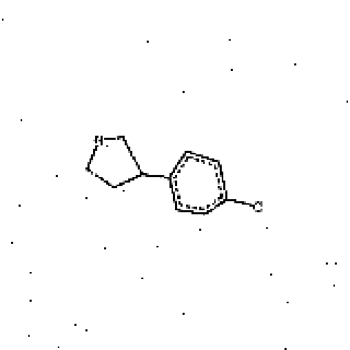 Clc1ccc(C2CC[N]C2)cc1